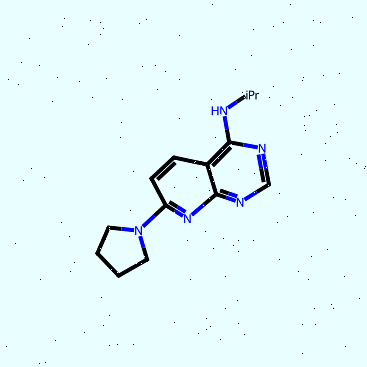 CC(C)Nc1ncnc2nc(N3CCCC3)ccc12